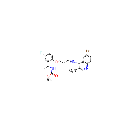 CC(NC(=O)OC(C)(C)C)c1cc(F)ccc1OCCCCNc1c([N+](=O)[O-])cnc2ccc(Br)cc12